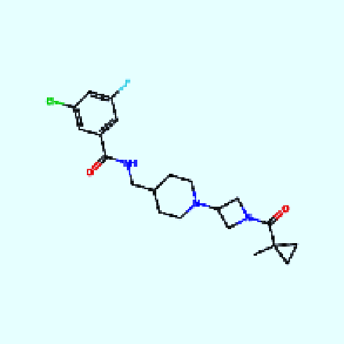 CC1(C(=O)N2CC(N3CCC(CNC(=O)c4cc(F)cc(Cl)c4)CC3)C2)CC1